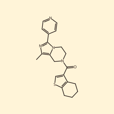 Cc1nc(-c2ccncc2)n2c1CN(C(=O)c1csc3c1CCCC3)CC2